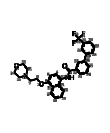 O=C(Nc1ccc(OCCN2CCOCC2)c2ccccc12)c1cccc(-c2cccc(C(F)(F)F)c2)c1